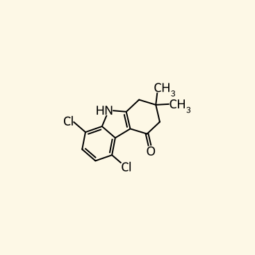 CC1(C)CC(=O)c2c([nH]c3c(Cl)ccc(Cl)c23)C1